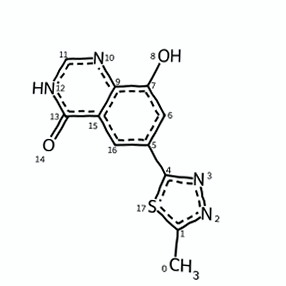 Cc1nnc(-c2cc(O)c3nc[nH]c(=O)c3c2)s1